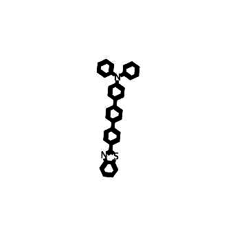 c1ccc(N(c2ccccc2)c2ccc(-c3ccc(-c4ccc(-c5nc6ccccc6s5)cc4)cc3)cc2)cc1